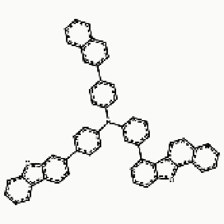 c1cc(-c2cccc3oc4c5ccccc5ccc4c23)cc(N(c2ccc(-c3ccc4ccccc4c3)cc2)c2ccc(-c3ccc4c(c3)oc3ccccc34)cc2)c1